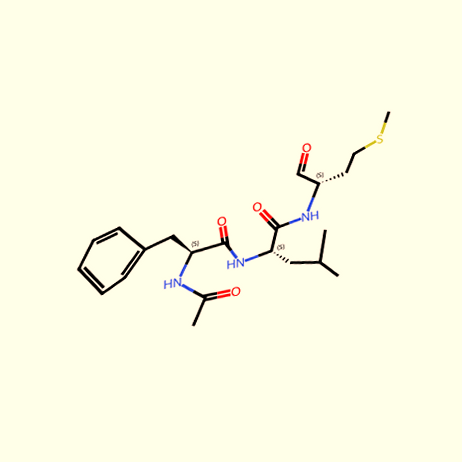 CSCC[C@@H](C=O)NC(=O)[C@H](CC(C)C)NC(=O)[C@H](Cc1ccccc1)NC(C)=O